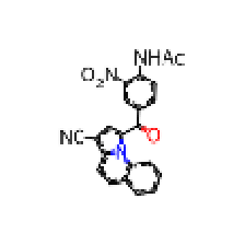 CC(=O)Nc1ccc(C(=O)c2cc(C#N)c3ccc4ccccc4n23)cc1[N+](=O)[O-]